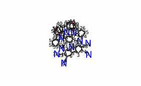 N#Cc1cc2c3cc(C#N)c(C#N)cc3n(-c3c(C#N)c(-n4c5ccccc5c5ccccc54)c(-n4c5ccccc5c5ccccc54)c(-n4c5ccccc5c5ccccc54)c3C#N)c2cc1C#N